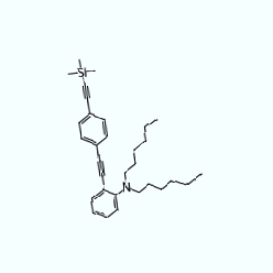 CCCCCCN(CCCCCC)c1ccccc1C#Cc1ccc(C#C[Si](C)(C)C)cc1